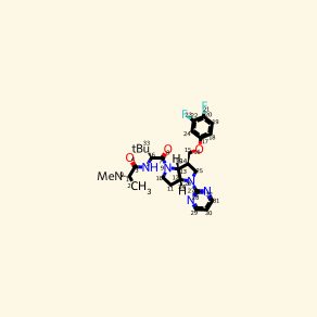 CN[C@@H](C)C(=O)N[C@H](C(=O)N1CC[C@@H]2[C@H]1[C@@H](COc1ccc(F)c(F)c1)CN2c1ncccn1)C(C)(C)C